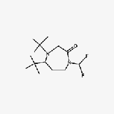 CC(C)(C)C1CCN(C(F)F)C(=O)CN1C(C)(C)C